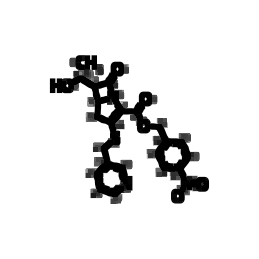 C[C@@H](O)C1C(=O)N2C(C(=O)OCc3ccc([N+](=O)[O-])cc3)=C(SCc3cccnc3)CC12